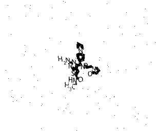 CCNC(=O)c1cc2c(C(=NOCCN3CCCC3=O)c3ccc(-n4cccc4)cc3)nc(N)nc2s1